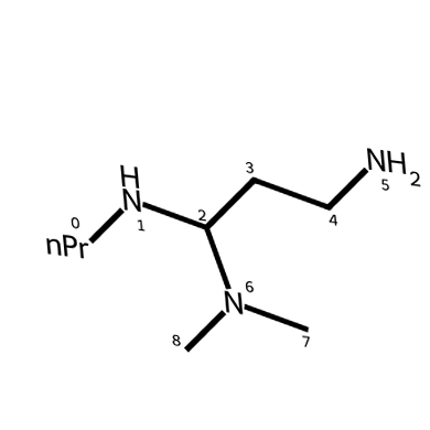 CCCNC(CCN)N(C)C